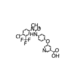 CN(C(=O)Nc1ccc(Oc2cncc(C(=O)O)c2)cc1)c1ccc(Cl)c(C(F)(F)F)c1